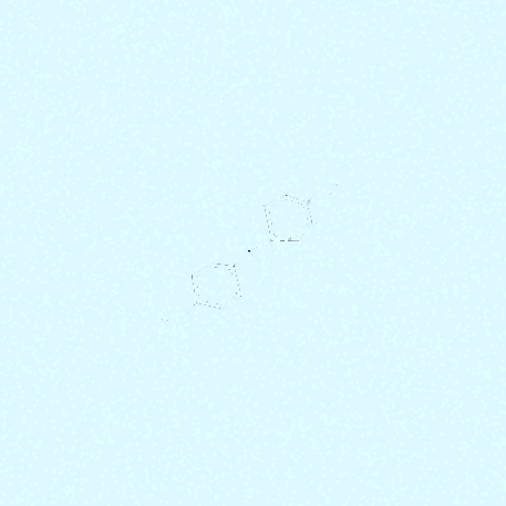 COc1ccc(C(c2ccc(OC(C)=O)cc2)(C(F)(F)F)C(F)(F)F)cc1